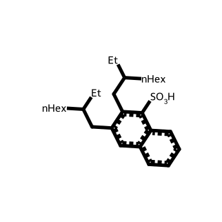 CCCCCCC(CC)Cc1cc2ccccc2c(S(=O)(=O)O)c1CC(CC)CCCCCC